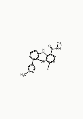 CNC(=O)c1cnc(Cl)cc1Nc1cccc(-c2cnn(C)c2)c1O